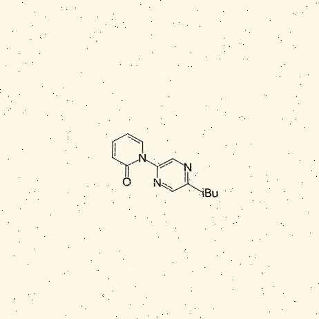 CCC(C)c1cnc(-n2ccccc2=O)cn1